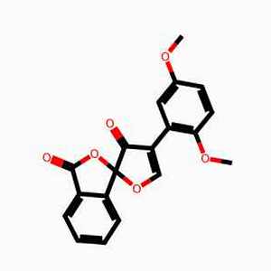 COc1ccc(OC)c(C2=COC3(OC(=O)c4ccccc43)C2=O)c1